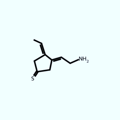 C/C=C1\CC(=S)C\C1=C/CN